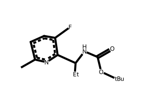 CCC(NC(=O)OC(C)(C)C)c1nc(C)ccc1F